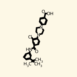 CC(C)(C)c1cccc(NC(=O)c2ccc(N3CCN(c4ccc(C(=O)O)cc4)CC3)c(Cl)c2)c1